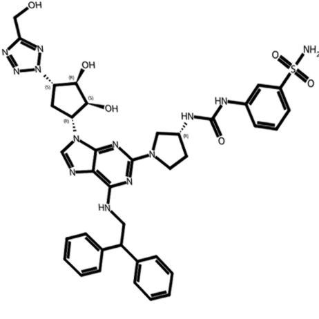 NS(=O)(=O)c1cccc(NC(=O)N[C@@H]2CCN(c3nc(NCC(c4ccccc4)c4ccccc4)c4ncn([C@@H]5C[C@H](n6nnc(CO)n6)[C@@H](O)[C@H]5O)c4n3)C2)c1